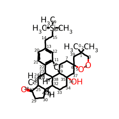 CC1(C)COOC2(CC[C@@]34Cc5cc(CC[Si](C)(C)C)ccc5[C@H]5C[C@]6(C)C(=O)CC[C@H]6[C@H](CC[C@@]3(O)C2)[C@H]54)C1